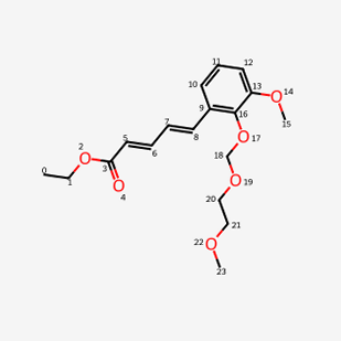 CCOC(=O)/C=C/C=C/c1cccc(OC)c1OCOCCOC